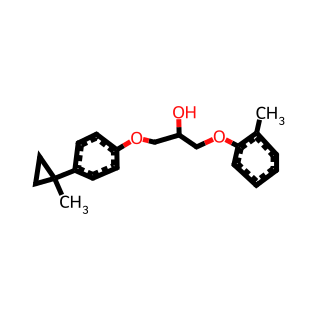 Cc1ccccc1OCC(O)COc1ccc(C2(C)CC2)cc1